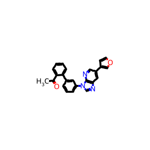 CC(=O)c1ccccc1-c1cccc(-n2cnc3cc(-c4ccoc4)cnc32)c1